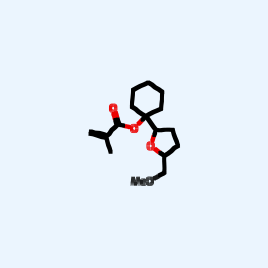 C=C(C)C(=O)OC1(C2CCC(COC)O2)CCCCC1